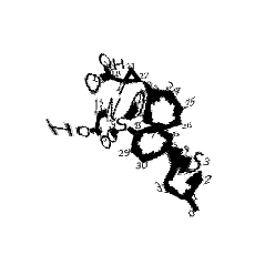 Cc1csc(-c2ccc(S(=O)(=O)N(CC(=O)O)[C@]3(C(=O)O)C[C@H]3c3ccccc3)cc2)c1